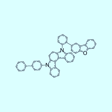 c1ccc(-c2ccc(-n3c4ccccc4c4c5c6ccccc6n(-c6ccccc6-c6ccc7oc8ccccc8c7c6)c5ccc43)cc2)cc1